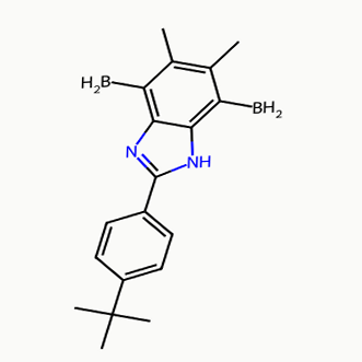 Bc1c(C)c(C)c(B)c2[nH]c(-c3ccc(C(C)(C)C)cc3)nc12